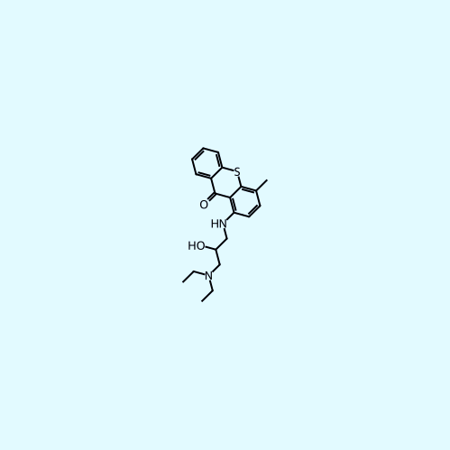 CCN(CC)CC(O)CNc1ccc(C)c2sc3ccccc3c(=O)c12